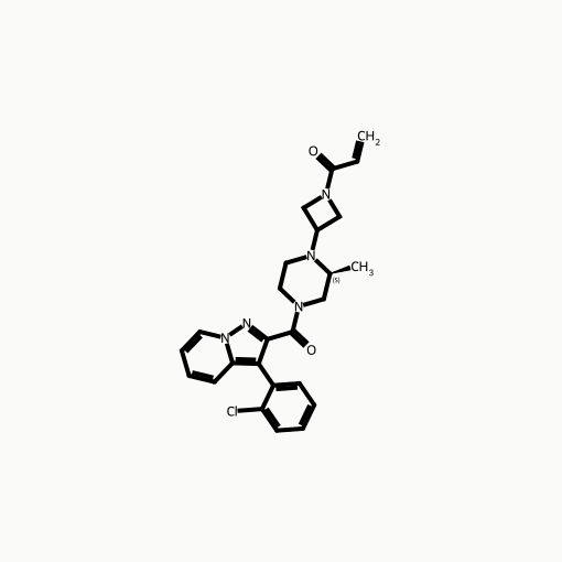 C=CC(=O)N1CC(N2CCN(C(=O)c3nn4ccccc4c3-c3ccccc3Cl)C[C@@H]2C)C1